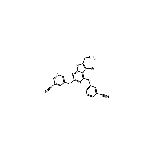 CCc1[nH]c2nc(Oc3cncc(C#N)c3)nc(Oc3cccc(C#N)c3)c2c1Br